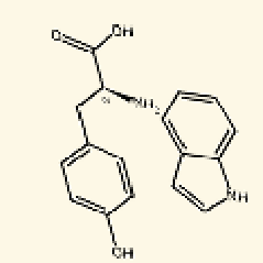 N[C@@H](Cc1ccc(O)cc1)C(=O)O.c1ccc2[nH]ccc2c1